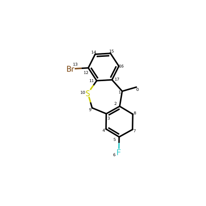 CC1C2=C(C=C(F)CC2)CSc2c(Br)cccc21